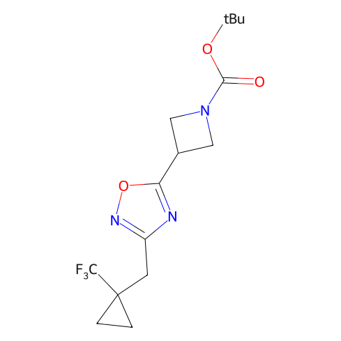 CC(C)(C)OC(=O)N1CC(c2nc(CC3(C(F)(F)F)CC3)no2)C1